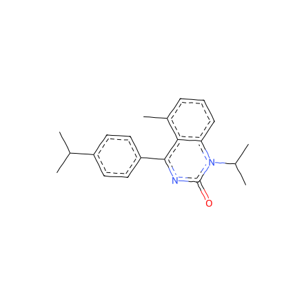 Cc1cccc2c1c(-c1ccc(C(C)C)cc1)nc(=O)n2C(C)C